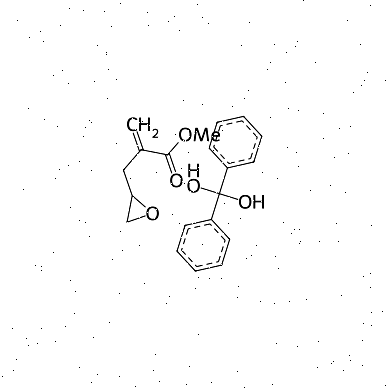 C=C(CC1CO1)C(=O)OC.OC(O)(c1ccccc1)c1ccccc1